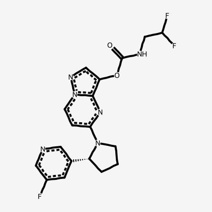 O=C(NCC(F)F)Oc1cnn2ccc(N3CCC[C@@H]3c3cncc(F)c3)nc12